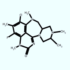 Cc1c(Cl)c2c3c(nc(=O)n(C)c3c1F)N1CC(C)N(C)CC1CN2C